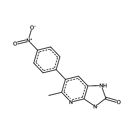 Cc1nc2c(cc1-c1ccc([N+](=O)[O-])cc1)NC(=O)[N]2